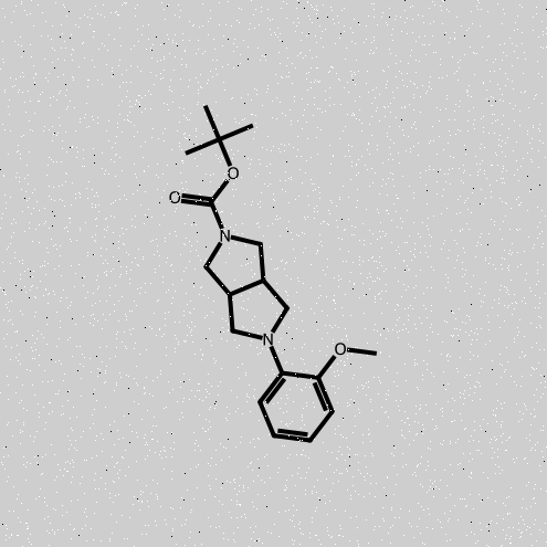 COc1ccccc1N1CC2CN(C(=O)OC(C)(C)C)CC2C1